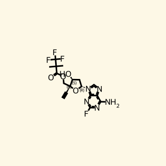 C#C[C@]1(COC(=O)C(C)(C)C(F)(F)F)O[C@@H](n2cnc3c(N)nc(F)nc32)C[C@@H]1O